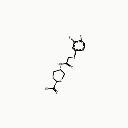 O=C(COc1ccc(Cl)c(F)c1)N[C@H]1CO[C@H](C(=O)O)OC1